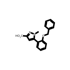 Cn1nc(C(=O)O)cc1-c1ccccc1OCc1ccccc1